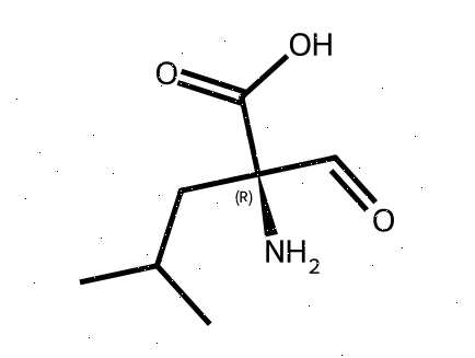 CC(C)C[C@@](N)(C=O)C(=O)O